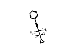 CC(C)(C#Cc1cccnc1)S(=O)(=O)C1CC1